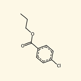 CCCOC(=O)c1ccc(Cl)cc1